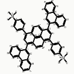 C[Si](C)(C)c1ccc(-c2cc(-c3cc4ccccc4c4ccccc34)c3ccc4c(-c5ccc([Si](C)(C)C)cc5)cc(-c5cc6ccccc6c6ccccc56)c5ccc2c3c45)cc1